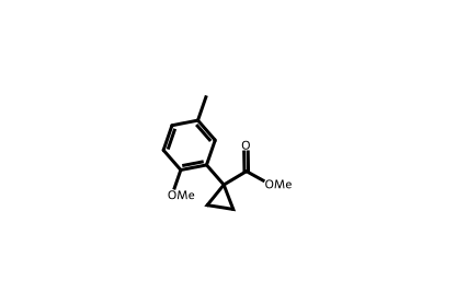 COC(=O)C1(c2cc(C)ccc2OC)CC1